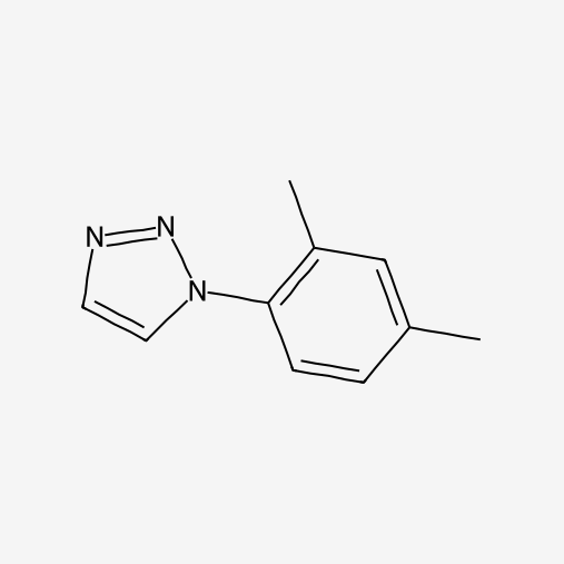 Cc1ccc(-n2ccnn2)c(C)c1